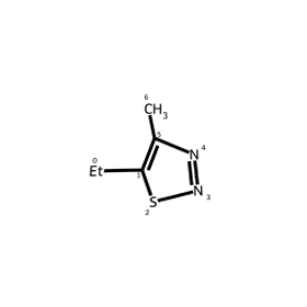 CCc1snnc1C